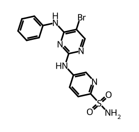 NS(=O)(=O)c1ccc(Nc2ncc(Br)c(Nc3ccccc3)n2)cn1